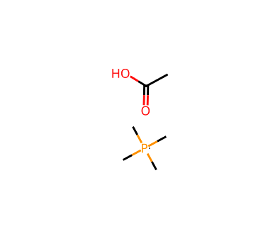 CC(=O)O.C[P](C)(C)C